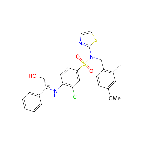 COc1ccc(CN(c2nccs2)S(=O)(=O)c2ccc(N[C@@H](CO)c3ccccc3)c(Cl)c2)c(C)c1